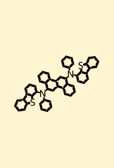 c1ccc(N(c2cc3c4ccccc4c(N(c4ccccc4)c4cccc5c4sc4ccccc45)cc3c3ccccc23)c2cccc3c2sc2ccccc23)cc1